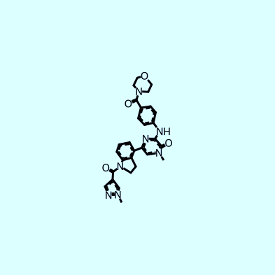 Cn1cc(C(=O)N2CCc3c(-c4cn(C)c(=O)c(Nc5ccc(C(=O)N6CCOCC6)cc5)n4)cccc32)cn1